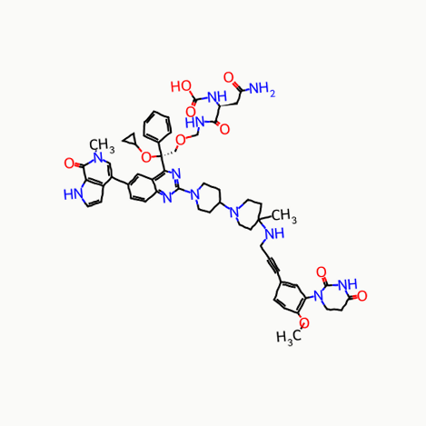 COc1ccc(C#CCNC2(C)CCN(C3CCN(c4nc([C@@](COCNC(=O)[C@H](CC(N)=O)NC(=O)O)(OC5CC5)c5ccccc5)c5cc(-c6cn(C)c(=O)c7[nH]ccc67)ccc5n4)CC3)CC2)cc1N1CCC(=O)NC1=O